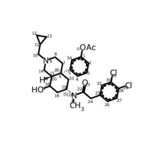 CC(=O)Oc1cccc([C@@]23CCN(CC4CC4)C[C@H]2C(O)C[C@@H](N(C)C(=O)Cc2ccc(Cl)c(Cl)c2)C3)c1